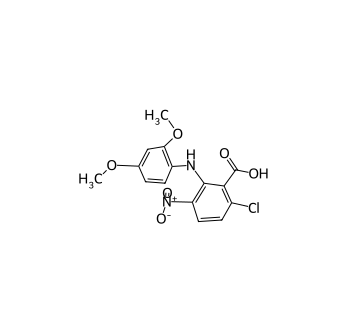 COc1ccc(Nc2c([N+](=O)[O-])ccc(Cl)c2C(=O)O)c(OC)c1